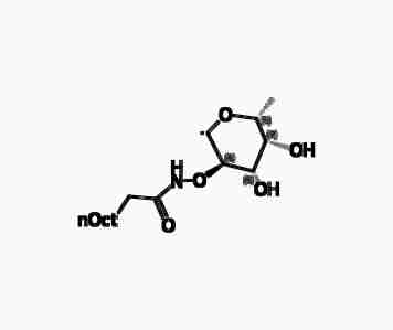 CCCCCCCCCC(=O)NO[C@H]1[CH]O[C@H](C)[C@H](O)[C@@H]1O